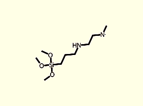 C[N]CCNCCC[Si](OC)(OC)OC